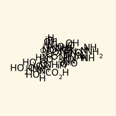 CC(C)C[C@H](NC(=O)[C@H](C)N)C(=O)N[C@@H](Cc1c[nH]cn1)C(=O)N[C@@H](CCCNC(=N)N)C(=O)N[C@@H](CO)C(=O)N[C@@H](Cc1ccc(O)cc1)C(=O)N[C@@H](CC(C)C)C(=O)N[C@H](C(=O)N1CCC[C@H]1C(=O)NCC(=O)N[C@@H](CC(=O)O)C(=O)N[C@@H](CO)C(=O)N[C@@H](CO)C(=O)O)[C@@H](C)O